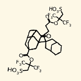 O=C(CCCC1(C23CC4CC(CC(C(=O)OC(CS(=O)(=O)O)(C(F)(F)F)C(F)(F)F)(C4)C2)C3=O)CC2CCCC(C2)C1)OC(CS(=O)(=O)O)(C(F)(F)F)C(F)(F)F